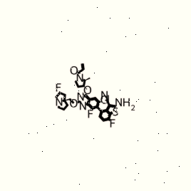 C=CC(=O)N1CC[C@@H](Oc2nc(OC[C@@]34CCCN3C[C@H](F)C4)nc3c(F)c(-c4ccc(F)c5sc(N)c(C#N)c45)c(Cl)cc23)[C@@H]1C